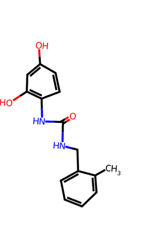 Cc1ccccc1CNC(=O)Nc1ccc(O)cc1O